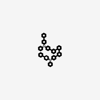 C1=CC(c2ccccc2)CC=C1N(c1ccccc1)c1ccc(-c2cccc(-c3ccccc3-c3cccc(-c4ccc(N(c5ccccc5)c5ccc(-c6ccccc6)cc5)cc4)c3)c2)cc1